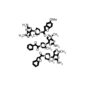 COc1ccc2oc(C(=O)N3CCN(c4nc(N)nc5c4cnn5C)[C@@H](C)C3)cc2c1.C[C@H]1CN(C(=O)C(=O)c2ccccc2)CCN1c1nc(N)nc2c1cnn2C.C[C@H]1CN(C(=O)C2Cc3ccccc3O2)CCN1c1nc(N)nc2c1cnn2C